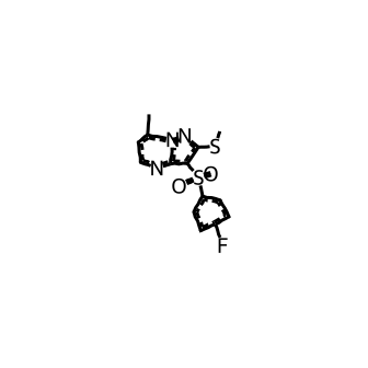 CSc1nn2c(C)ccnc2c1S(=O)(=O)c1ccc(F)cc1